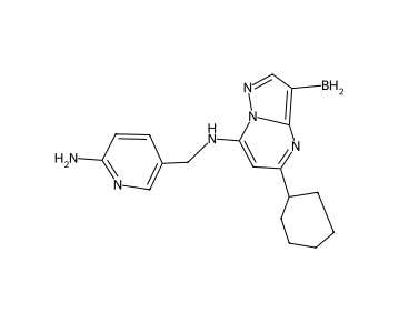 Bc1cnn2c(NCc3ccc(N)nc3)cc(C3CCCCC3)nc12